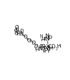 CC(C)[C@H](NC(=O)CCOCCOCCOCCOCCNC(=O)CCN1C(=O)C=CC1=O)C(=O)N[C@@H](CCCCNC(N)=O)C(=O)O